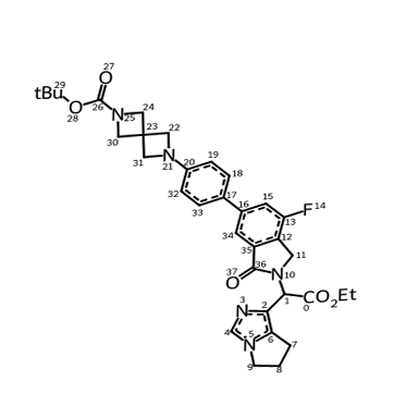 CCOC(=O)C(c1ncn2c1CCC2)N1Cc2c(F)cc(-c3ccc(N4CC5(CN(C(=O)OC(C)(C)C)C5)C4)cc3)cc2C1=O